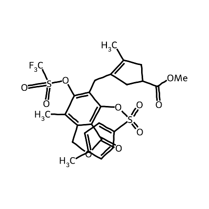 COC(=O)C1CC(C)=C(Cc2c(OS(=O)(=O)C(F)(F)F)c(C)c3c(c2OS(=O)(=O)c2ccc(C)cc2)C(=O)OC3)C1